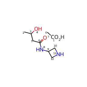 CC(=O)O.CC(O)CC(=O)NC1CNC1